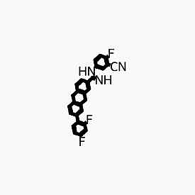 N#Cc1cc(NC(=N)c2ccc3c(c2)Cc2cc(-c4ccc(F)cc4F)ccc2C3)ccc1F